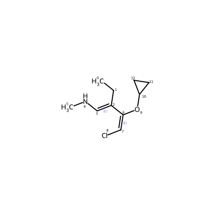 CCC(=C\NC)/C(=C\Cl)OC1CC1